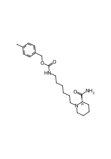 Cc1ccc(COC(=O)NCCCCCCN2CCCC[C@@H]2C(N)=O)cc1